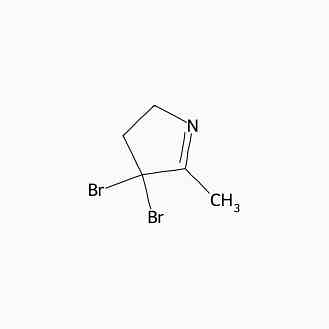 CC1=NCCC1(Br)Br